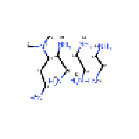 CN(C)CCCN.NCCN.NCCN.NCCN